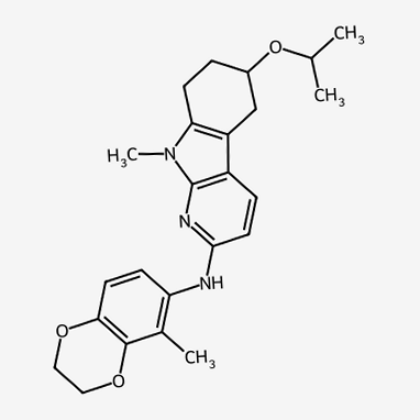 Cc1c(Nc2ccc3c4c(n(C)c3n2)CCC(OC(C)C)C4)ccc2c1OCCO2